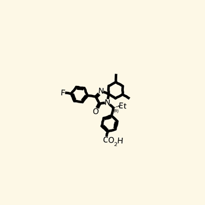 CC[C@H](c1ccc(C(=O)O)cc1)N1C(=O)C(c2ccc(F)cc2)=NC12CC(C)CC(C)C2